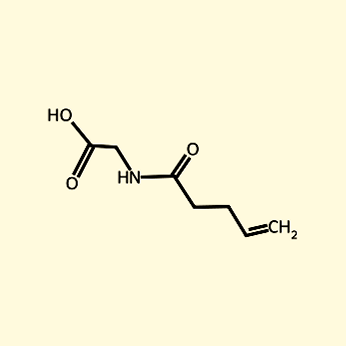 C=CCCC(=O)NCC(=O)O